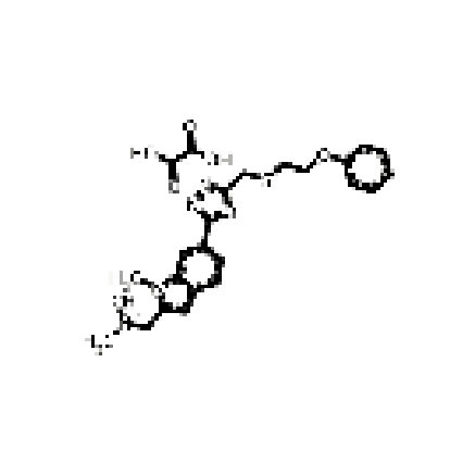 CN(C)Cc1cc2ccc(-c3nnc(CSCCOc4ccccc4)o3)cc2n1C.O=C(O)C(=O)O